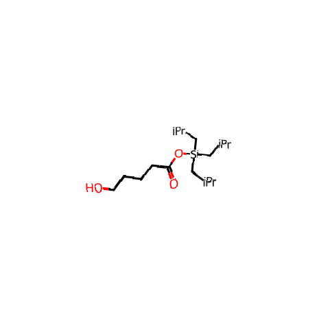 CC(C)C[Si](CC(C)C)(CC(C)C)OC(=O)CCCCO